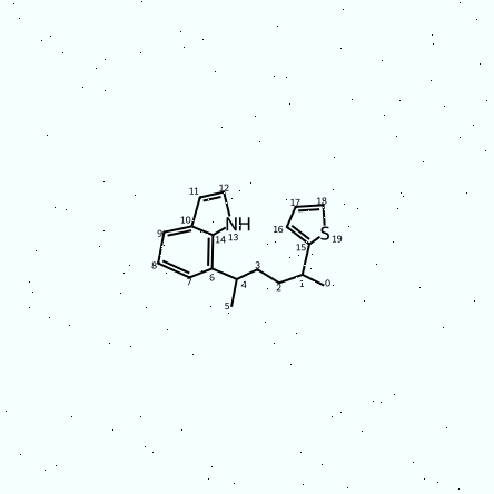 CC(CCC(C)c1cccc2cc[nH]c12)c1cccs1